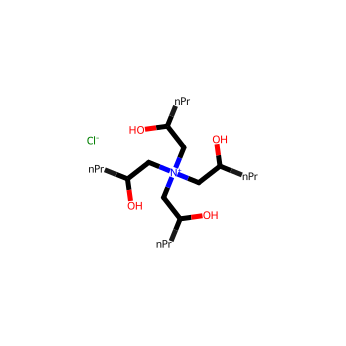 CCCC(O)C[N+](CC(O)CCC)(CC(O)CCC)CC(O)CCC.[Cl-]